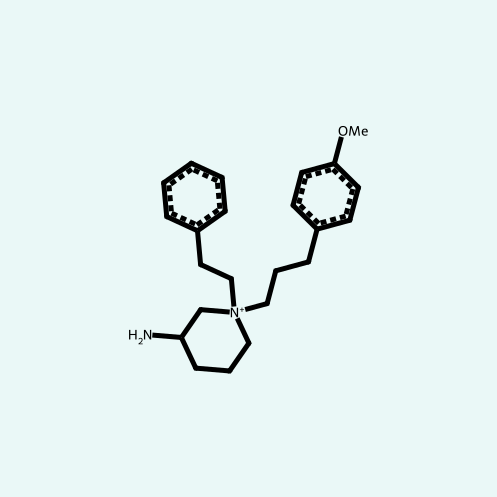 COc1ccc(CCC[N+]2(CCc3ccccc3)CCCC(N)C2)cc1